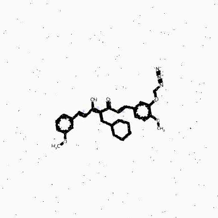 COc1cccc(/C=C/C(O)=C(\CC2CCCCC2)C(=O)/C=C/c2ccc(OC)c(OCN=[N+]=[N-])c2)c1